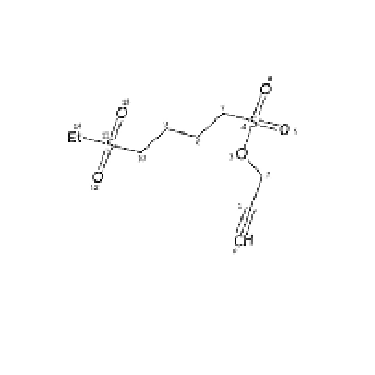 C#CCOS(=O)(=O)CCCCS(=O)(=O)CC